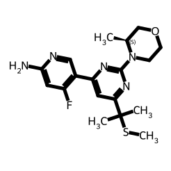 CSC(C)(C)c1cc(-c2cnc(N)cc2F)nc(N2CCOC[C@@H]2C)n1